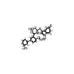 CCCOc1ccc(-c2cccc(C(C)C)c2)cc1C(=O)NC(CO)Cc1c[nH]c2ccc(F)cc12